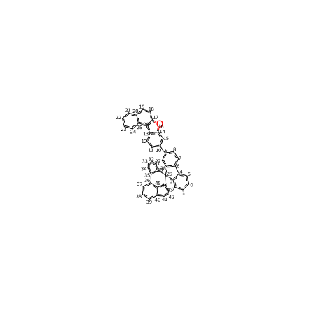 c1ccc2c(c1)-c1ccc(-c3ccc4c(c3)oc3ccc5ccccc5c34)cc1C21c2ccccc2-c2cccc3cccc1c23